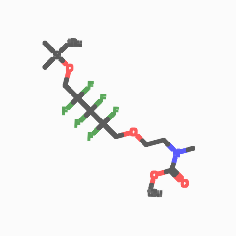 CN(CCOCC(F)(F)C(F)(F)C(F)(F)CO[Si](C)(C)C(C)(C)C)C(=O)OC(C)(C)C